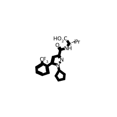 CC(C)[C@H](NC(=O)c1cc(-c2ccccc2C(F)(F)F)n(C2CCCC2)n1)C(=O)O